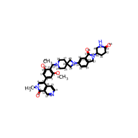 COc1cc(-c2cn(C)c(=O)c3cnccc23)cc(OC)c1CN1CCC2(CC1)CN(c1ccc3c(c1)C(=O)N(C1CCC(=O)NC1)C3)C2